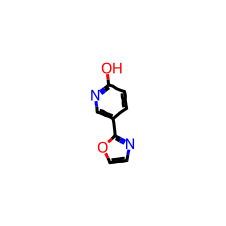 Oc1ccc(-c2ncco2)cn1